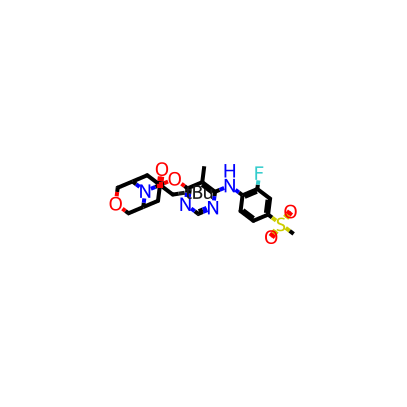 Cc1c(Nc2ccc(S(C)(=O)=O)cc2F)ncnc1OC1CC2COCC(C1)N2C(=O)CC(C)(C)C